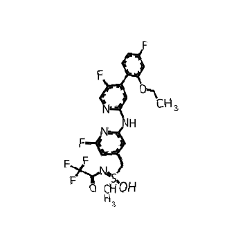 CCOc1cc(F)ccc1-c1cc(Nc2cc(C[SH](C)(O)=NC(=O)C(F)(F)F)cc(F)n2)ncc1F